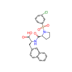 O=C(O)[C@H](Cc1ccc2ccccc2c1)NC(=O)[C@@H]1CCCN1S(=O)(=O)c1cccc(Cl)c1